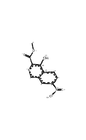 COC(=O)c1ncc2cc([N+](=O)[O-])ccc2c1O